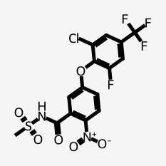 CS(=O)(=O)NC(=O)c1cc(Oc2c(F)cc(C(F)(F)F)cc2Cl)ccc1[N+](=O)[O-]